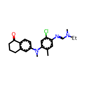 CCN(C)C=Nc1cc(C)c(N(C)c2ccc3c(c2)CCCC3=O)cc1Cl